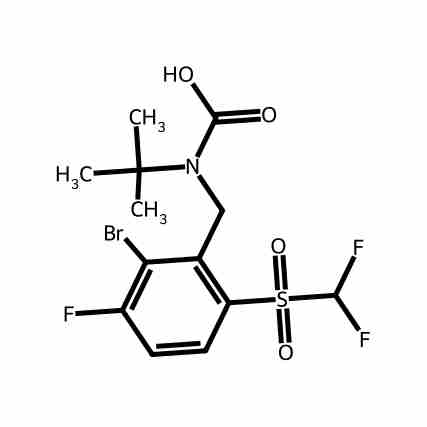 CC(C)(C)N(Cc1c(S(=O)(=O)C(F)F)ccc(F)c1Br)C(=O)O